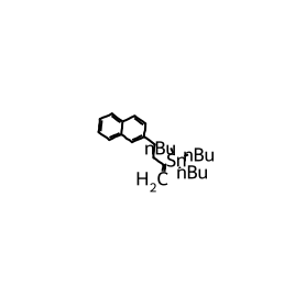 C=[C](CCc1ccc2ccccc2c1)[Sn]([CH2]CCC)([CH2]CCC)[CH2]CCC